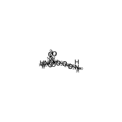 CC(=O)OC1CC(C(=O)NCC(C)(C)C)N(C(=O)COCCOCCOCCNC(C)C)C1